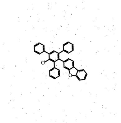 Clc1c(-c2ccccc2)cc(-c2ccccc2)c(-c2ccc3c(c2)oc2ccccc23)c1-c1ccccc1